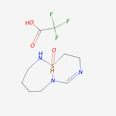 O=C(O)C(F)(F)F.O=[SH]12CCN=CN1CCCCN2